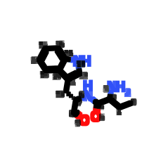 CCC(N)C(=O)N[C@H]([C]=O)Cc1c[nH]c2ccccc12